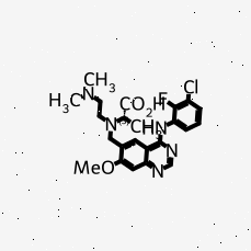 COc1cc2ncnc(Nc3cccc(Cl)c3F)c2cc1CN(CCN(C)C)[C@@H](C)C(=O)O